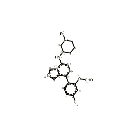 CCN1CCC[C@@H](Nc2nnc(-c3ccc(Cl)cc3OC=O)c3cncn23)C1